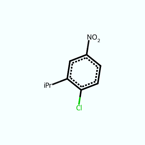 CC(C)c1cc([N+](=O)[O-])ccc1Cl